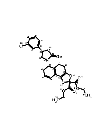 CCOC(=O)C1(C(=O)OCC)OC2=C(O1)C1=C(CC2)[C@@H](N2C[C@@H](c3cccc(Cl)c3)OC2=O)CC=C1